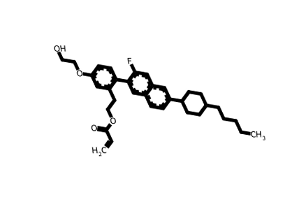 C=CC(=O)OCCc1cc(OCCO)ccc1-c1cc2ccc(C3CCC(CCCCC)CC3)cc2cc1F